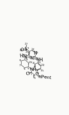 C=CC(=O)NC1CCCC(Nc2nc(Nc3ccc(OCCCCC)cc3)ncc2[S+](C)[O-])C1